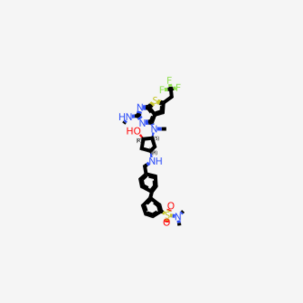 CNc1nc(N(C)[C@H]2C[C@@H](NCc3ccc(-c4cccc(S(=O)(=O)N(C)C)c4)cc3)C[C@H]2O)c2cc(CC(F)(F)F)sc2n1